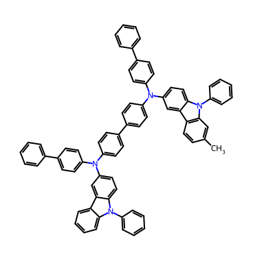 Cc1ccc2c3cc(N(c4ccc(-c5ccccc5)cc4)c4ccc(-c5ccc(N(c6ccc(-c7ccccc7)cc6)c6ccc7c(c6)c6ccccc6n7-c6ccccc6)cc5)cc4)ccc3n(-c3ccccc3)c2c1